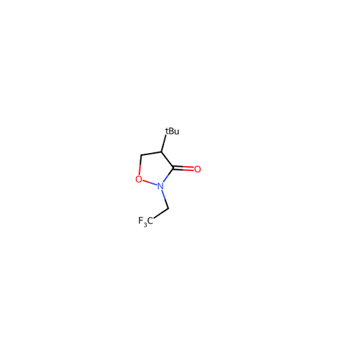 CC(C)(C)C1CON(CC(F)(F)F)C1=O